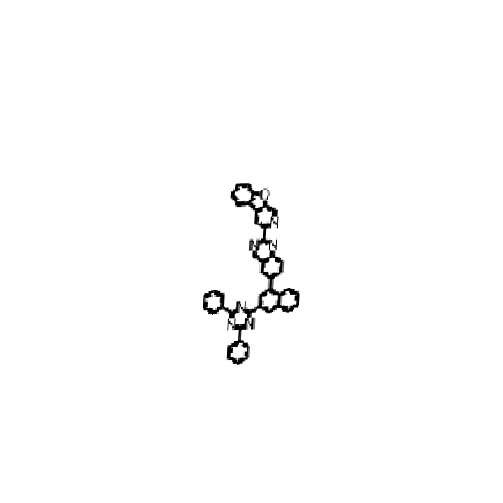 c1ccc(-c2nc(-c3ccccc3)nc(-c3cc(-c4ccc5nc(-c6cc7c(cn6)oc6ccccc67)ncc5c4)c4ccccc4c3)n2)cc1